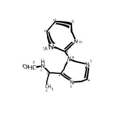 CC(NC=O)c1ncnn1-c1ncccn1